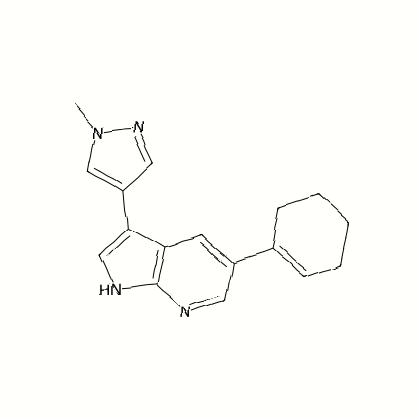 Cn1cc(-c2c[nH]c3ncc(C4=CCCCC4)cc23)cn1